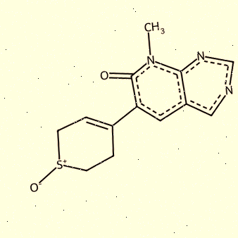 Cn1c(=O)c(C2=CC[S+]([O-])CC2)cc2cncnc21